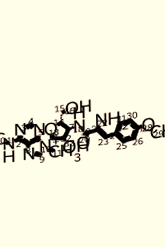 CNc1ncnc2c1N=C[N+]2(C)[C@@H]1O[C@H](CO)[C@@H](NC(=O)C(N)=Cc2ccc(OC)cc2)[C@H]1O